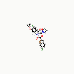 CN(C(=O)C(=O)c1cc2ccc(Cl)cc2s1)[C@H](CN1CCCC1)[C@H](O)c1ccc(OC2CC2)c(F)c1